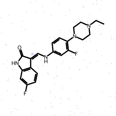 CCN1CCN(c2ccc(N/C=C3/C(=O)Nc4cc(F)ccc43)cc2F)CC1